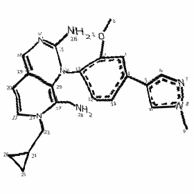 COc1cc(-c2cnn(C)c2)ccc1N1C(N)=NC=C2C=CN(CC3CC3)C(N)=C21